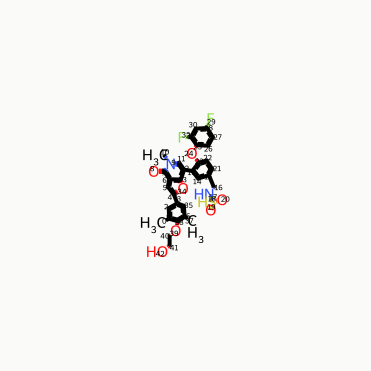 Cc1cc(-c2cc3c(=O)n(C)cc(-c4cc(CN[SH](=O)=O)ccc4Oc4ccc(F)cc4F)c3o2)cc(C)c1OCCO